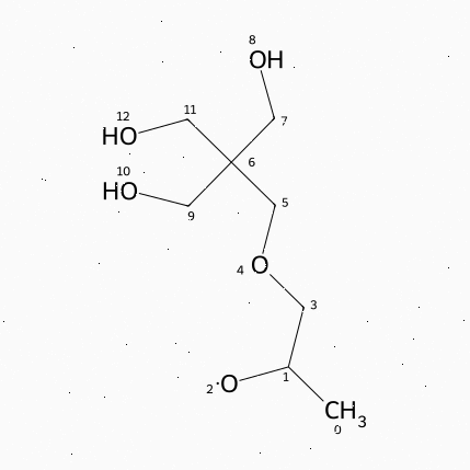 CC([O])COCC(CO)(CO)CO